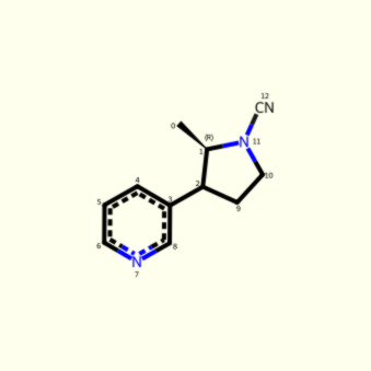 C[C@@H]1C(c2cccnc2)CCN1C#N